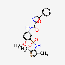 COc1ccc(NC(=O)c2ncc(-c3ccccc3)o2)cc1S(=O)(=O)Nc1c(C)csc1C